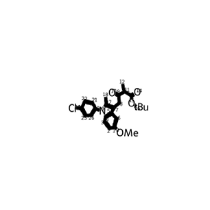 COc1ccc2c(c1)c(CC(=O)C(C)C(=O)OC(C)(C)C)c(C)n2-c1ccc(Cl)cc1